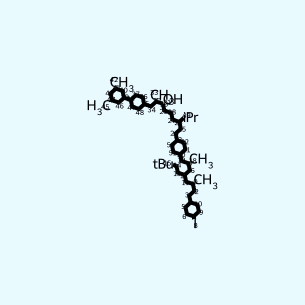 CC(CCC1CCC(I)CC1)CC(CCC(C)(C)C)C[C@H](C)CC1CCC(CCC(CCCC(O)[C@H](C)CC2CCC(C3CC(C)C[C@H](C)C3)CC2)C(C)C)CC1